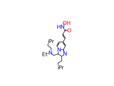 CCN(CCC(C)C)CC1C(CCC(C)C)N=C2C=C(/C=C/C(=O)NO)C=CN21